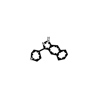 c1ccc2cc3c(-c4ccncc4)n[nH]c3cc2c1